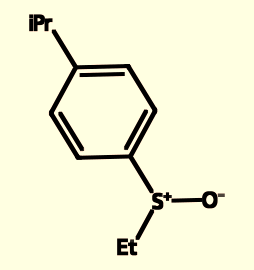 CC[S+]([O-])c1ccc(C(C)C)cc1